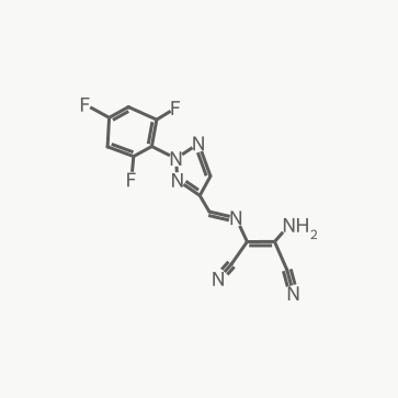 N#C/C(N)=C(C#N)/N=C/c1cnn(-c2c(F)cc(F)cc2F)n1